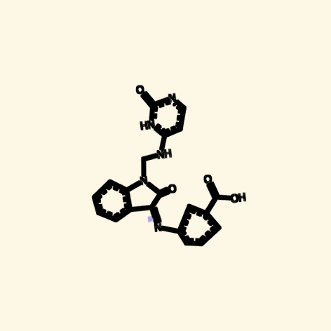 O=C(O)c1cccc(/N=C2\C(=O)N(CNc3ccnc(=O)[nH]3)c3ccccc32)c1